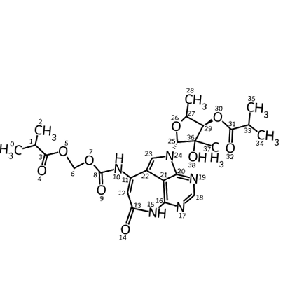 CC(C)C(=O)OCOC(=O)NC1=CC(=O)Nc2ncnc3c2c1cn3[C@@H]1OC(C)[C@@H](OC(=O)C(C)C)C1(C)O